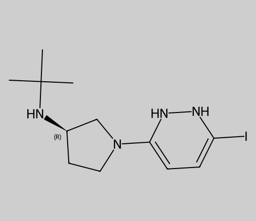 CC(C)(C)N[C@@H]1CCN(C2=CC=C(I)NN2)C1